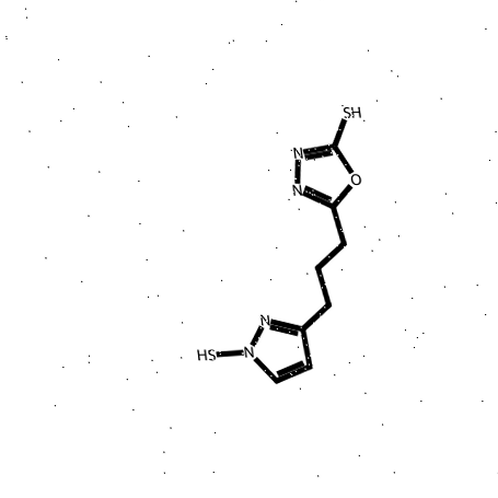 Sc1nnc(CCCc2ccn(S)n2)o1